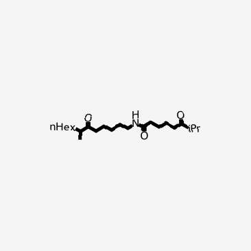 CCCCCCC(C)C(=O)CCCCCNC(=O)CCCCC(=O)C(C)C